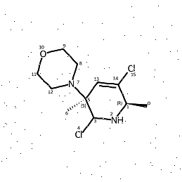 C[C@H]1NC(Cl)[C@@](C)(N2CCOCC2)C=C1Cl